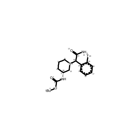 CC(C)(C)OC(=O)N[C@@H]1CCCN(C(C(N)=O)c2ccccc2F)C1